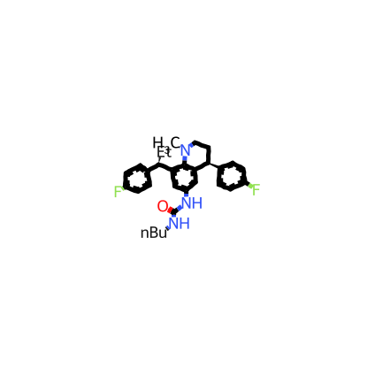 CCCCNC(=O)Nc1cc([C@@H](CC)c2ccc(F)cc2)c2c(c1)[C@H](c1ccc(F)cc1)CCN2C